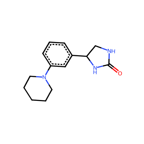 O=C1NCC(c2cccc(N3CCCCC3)c2)N1